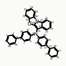 c1ccc(-c2ccc(N(c3ccc(-c4ccccc4)cc3)c3c4ccccc4n4c3oc3ccccc34)cc2)cc1